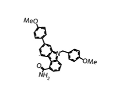 COc1ccc(Cn2c3cc(-c4ccc(OC)cc4)c[c]c3c3c(C(N)=O)cccc32)cc1